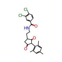 Cc1cc(C)c(C2C(=O)CC(CCNC(=O)c3ccc(Cl)c(Cl)c3)C2=O)c(C)c1